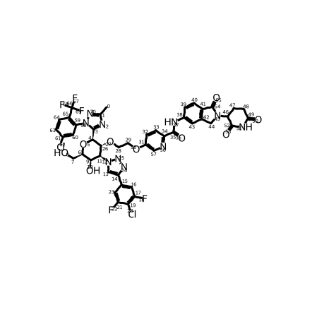 Cc1nc([C@@H]2O[C@H](CO)[C@H](O)[C@H](n3cc(-c4cc(F)c(Cl)c(F)c4)nn3)[C@H]2OCCOc2ccc(C(=O)Nc3ccc4c(c3)CN(C3CCC(=O)NC3=O)C4=O)nc2)n(-c2cc(Cl)ccc2C(F)(F)F)n1